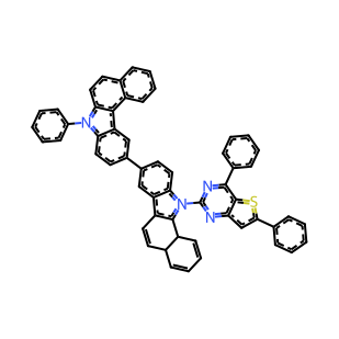 C1=CC2C=Cc3c(n(-c4nc(-c5ccccc5)c5sc(-c6ccccc6)cc5n4)c4ccc(-c5ccc6c(c5)c5c7ccccc7ccc5n6-c5ccccc5)cc34)C2C=C1